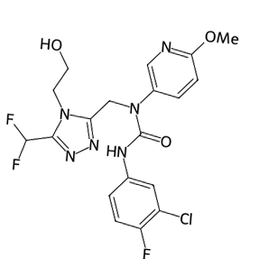 COc1ccc(N(Cc2nnc(C(F)F)n2CCO)C(=O)Nc2ccc(F)c(Cl)c2)cn1